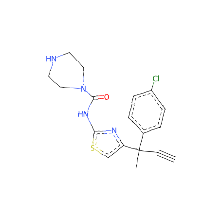 C#CC(C)(c1ccc(Cl)cc1)c1csc(NC(=O)N2CCNCC2)n1